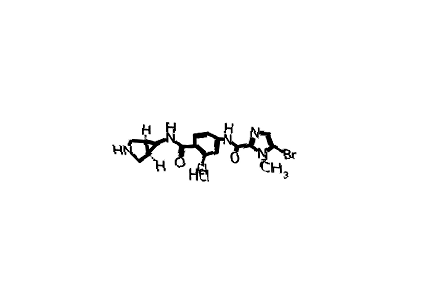 Cl.Cn1c(Br)cnc1C(=O)Nc1ccc(C(=O)NC2[C@H]3CNC[C@@H]23)c(Cl)c1